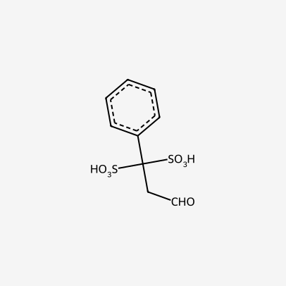 O=CCC(c1ccccc1)(S(=O)(=O)O)S(=O)(=O)O